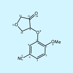 COc1ccc(C#N)cc1OC1COCC1=O